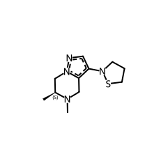 C[C@H]1Cn2ncc(N3CCCS3)c2CN1C